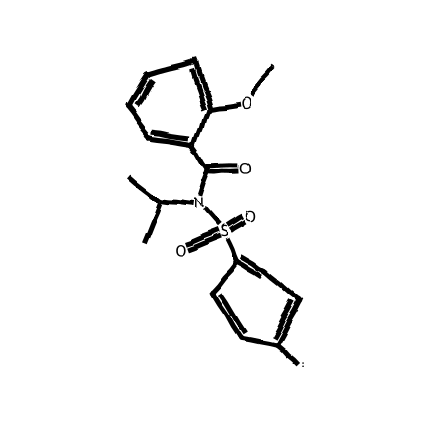 [CH]c1ccc(S(=O)(=O)N(C(=O)c2ccccc2OC)C(C)C)cc1